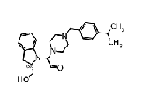 CC(C)c1ccc(CN2CCN(C(C=O)N3c4ccccc4C[C@H]3CO)CC2)cc1